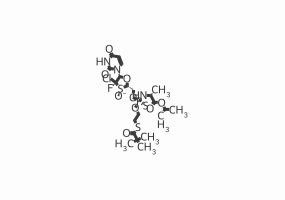 CC(C)OC(=O)[C@@H](C)NP(=S)(OCCSC(=O)C(C)(C)C)OC[C@H]1O[C@@H](n2ccc(=O)[nH]c2=O)[C@](F)(Cl)[S@+]1[O-]